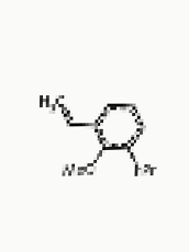 C=Cc1cccc(CCC)c1OC